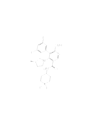 COc1ncc(C(=O)NC2CCC(F)(F)CC2)c(N2CC[C@@H](C)C2)c1-c1cc(F)cc(F)c1